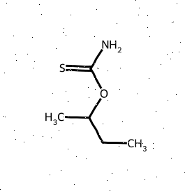 CCC(C)OC(N)=S